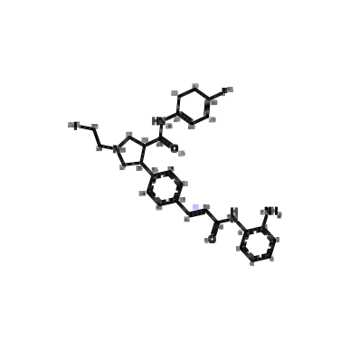 Nc1ccccc1NC(=O)/C=C/c1ccc(C2CN(CCF)CC2C(=O)NC2=CC=C(F)CC2)cc1